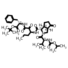 CCCC(NC(=O)[C@@H]1[C@H]2CCC(=O)[C@H]2CN1C(=O)[C@@H](NC(=O)OC(C)C)C(C)C)C(=O)C(=O)N[C@@H](Cc1ccccc1)C(=O)OC(C)(C)C